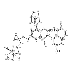 Oc1cc(-c2c(Cl)cc3c(N4CC5CCC(C4)N5)nc(OCC4(CN5C[C@H]6COC[C@@H]6C5)CC4)nc3c2F)c2c(F)c(F)ccc2c1